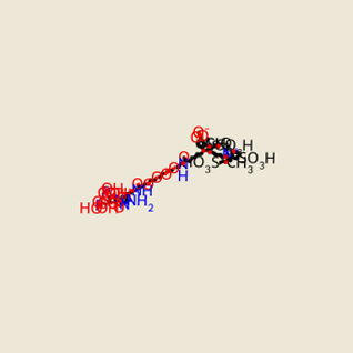 COCC[N+]1=C(/C=C/C=C/C=C2/C(CCCCCC(=O)NCCOCCOCCOCCOCCC(=O)NCCCc3cn([C@@H]4O[C@H](COP(=O)(O)O)C(OP(=O)(O)O)C4O)c(=O)nc3N)c3ccc(S(=O)(=O)[O-])cc3C2(C)CCCS(=O)(=O)O)C(C)(CCCS(=O)(=O)O)c2cc(S(=O)(=O)O)ccc21